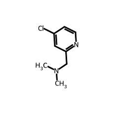 CN(C)Cc1cc(Cl)ccn1